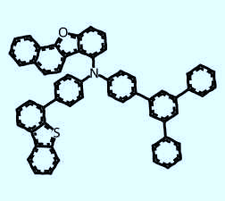 c1ccc(-c2cc(-c3ccccc3)cc(-c3ccc(N(c4ccc(-c5cccc6c5sc5ccccc56)cc4)c4cccc5oc6c7ccccc7ccc6c45)cc3)c2)cc1